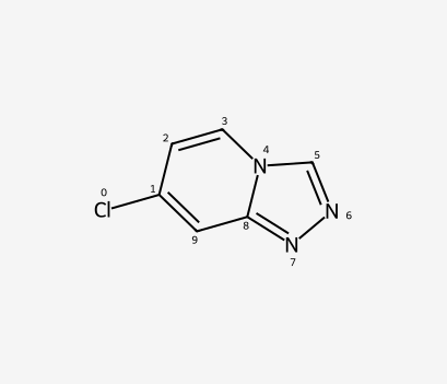 Clc1ccn2cnnc2c1